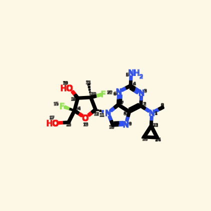 CN(c1nc(N)nc2c1ncn2[C@@H]1O[C@](F)(CO)C(O)[C@@]1(C)F)C1CC1